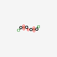 O=S(=O)(c1ccc(Oc2cccc(S(=O)(=O)c3cccc(Cl)c3)c2)cc1)c1cccc(Cl)c1